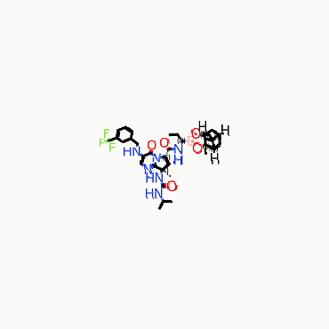 CC[C@H](NC(=O)[C@@H]1C[C@@](C)(NC(=O)NC(C)C)c2ncc(NCc3cccc(C(F)(F)F)c3)c(=O)n21)B1O[C@@H]2C[C@@H]3C[C@@H](C3(C)C)[C@]2(C)O1